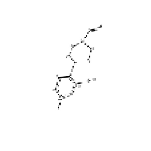 C=CC1CCC(c2ccc(C)cc2F)CC1